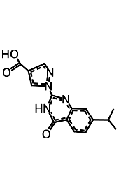 CC(C)c1ccc2c(=O)[nH]c(-n3cc(C(=O)O)cn3)nc2c1